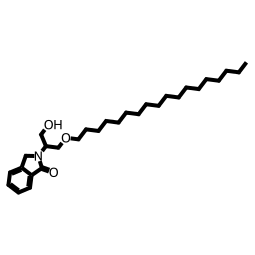 CCCCCCCCCCCCCCCCCCOCC(CO)N1Cc2ccccc2C1=O